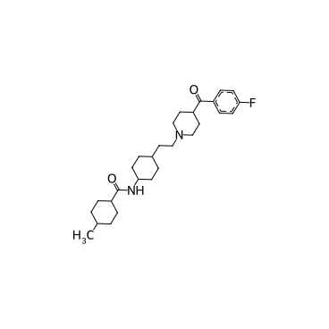 CC1CCC(C(=O)NC2CCC(CCN3CCC(C(=O)c4ccc(F)cc4)CC3)CC2)CC1